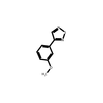 COc1cccc(-c2cnsn2)c1